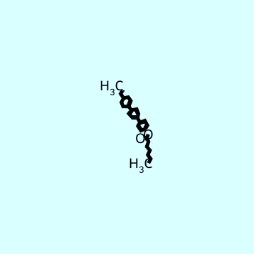 CCCCCCC(=O)Oc1ccc(-c2ccc(C3=CCC(CCC)CC3)cc2)cc1